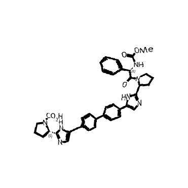 COC(=O)N[C@H](C(=O)N1CCCC1c1ncc(-c2ccc(-c3ccc(-c4cnc([C@@H]5CCCN5C(=O)O)[nH]4)cc3)cc2)[nH]1)c1ccccc1